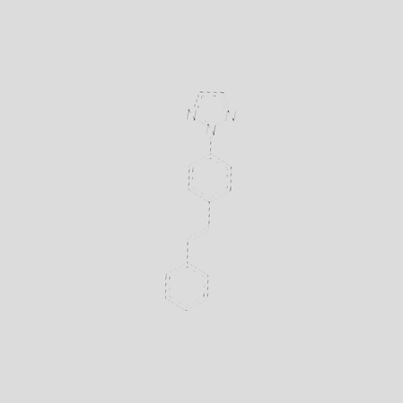 C(=Cc1ccc(-n2nccn2)cc1)c1ccccc1